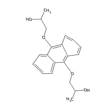 CC(O)COc1c2ccccc2c(OCC(C)O)c2ccccc12